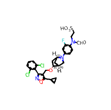 O=CN(CCS(=O)(=O)O)c1ccc(N2C[C@@H]3C[C@H]2C[C@H]3OCc2c(-c3c(Cl)cccc3Cl)noc2C2CC2)cc1F